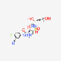 Cn1cc2c(c1C(=O)Nc1ccc(F)c(C#N)c1)OC[C@H](C(O)C#CC(C)(C)O)NS2(=O)=O